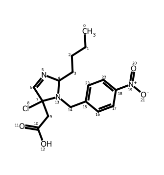 CCCCC1N=CC(Cl)(CC(=O)O)N1Cc1ccc([N+](=O)[O-])cc1